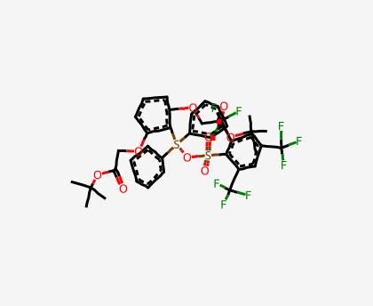 CC(C)(C)OC(=O)COc1cccc(OCC(=O)OC(C)(C)C)c1S(OS(=O)(=O)c1c(C(F)(F)F)cc(C(F)(F)F)cc1C(F)(F)F)(c1ccccc1)c1ccccc1